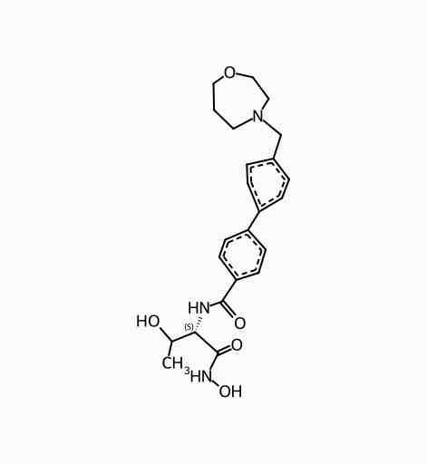 CC(O)[C@H](NC(=O)c1ccc(-c2ccc(CN3CCCOCC3)cc2)cc1)C(=O)NO